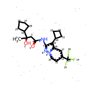 CC(O)(CC(=O)Nc1nn2ccc(C(F)(F)F)cc2c1C1CCC1)C1CCCC1